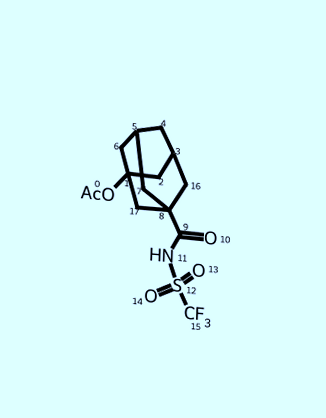 CC(=O)OC12CC3CC(C1)CC(C(=O)NS(=O)(=O)C(F)(F)F)(C3)C2